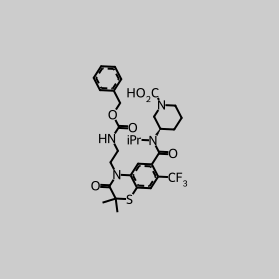 CC(C)N(C(=O)c1cc2c(cc1C(F)(F)F)SC(C)(C)C(=O)N2CCNC(=O)OCc1ccccc1)[C@@H]1CCCN(C(=O)O)C1